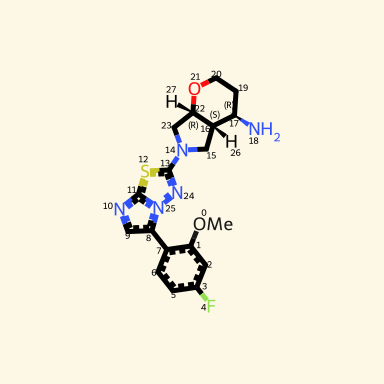 COc1cc(F)ccc1-c1cnc2sc(N3C[C@H]4[C@H](N)CCO[C@H]4C3)nn12